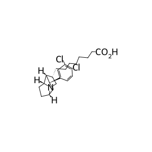 O=C(O)CCCCCCC[C@@H]1CN2[C@H]3CC[C@@H]2[C@H]1[C@@H](c1ccc(Cl)c(Cl)c1)C3